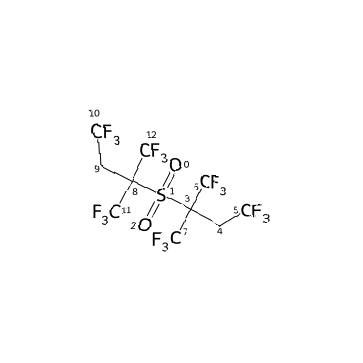 O=S(=O)(C(CC(F)(F)F)(C(F)(F)F)C(F)(F)F)C(CC(F)(F)F)(C(F)(F)F)C(F)(F)F